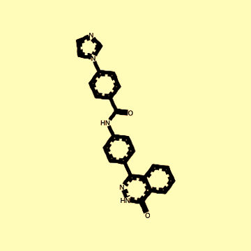 O=C(Nc1ccc(-c2n[nH]c(=O)c3ccccc23)cc1)c1ccc(-n2ccnc2)cc1